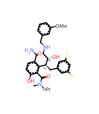 CCCN(C)C(=O)c1c(O)ccc(C(N)=O)c1[C@H](Cc1cc(F)cc(F)c1)[C@@H](O)CNCc1cccc(OC)c1